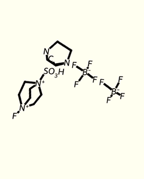 C1CN2CCN1CC2.F[B-](F)(F)F.F[B-](F)(F)F.O=S(=O)(O)[N+]12CC[N+](F)(CC1)CC2